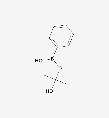 CC(C)(O)OB(O)c1ccccc1